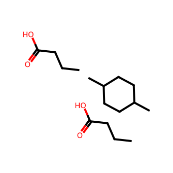 CC1CCC(C)CC1.CCCC(=O)O.CCCC(=O)O